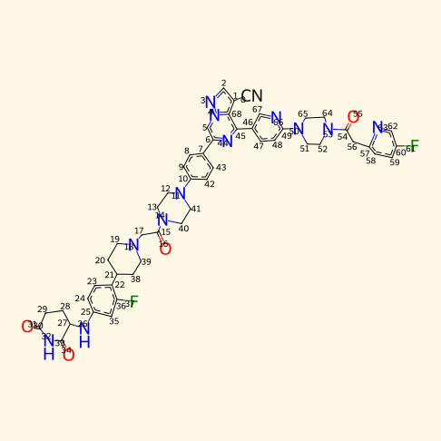 N#Cc1cnn2cc(-c3ccc(N4CCN(C(=O)CN5CCC(c6ccc(NC7CCC(=O)NC7=O)cc6F)CC5)CC4)cc3)nc(-c3ccc(N4CCN(C(=O)Cc5ccc(F)cn5)CC4)nc3)c12